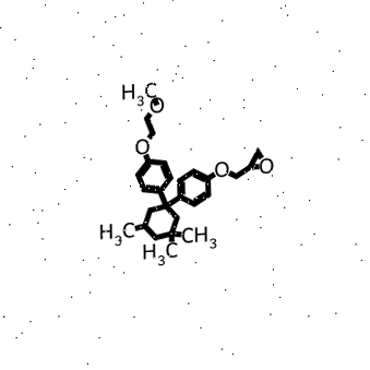 COCCOc1ccc(C2(c3ccc(OCC4CO4)cc3)CC(C)CC(C)(C)C2)cc1